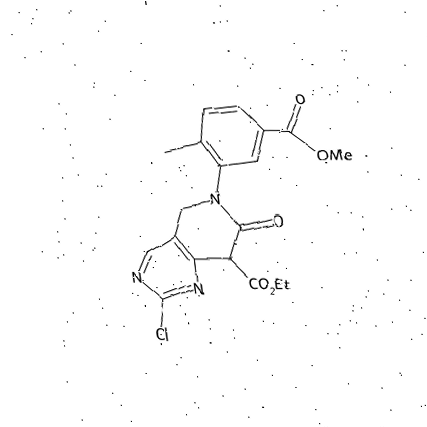 CCOC(=O)C1C(=O)N(c2cc(C(=O)OC)ccc2C)Cc2cnc(Cl)nc21